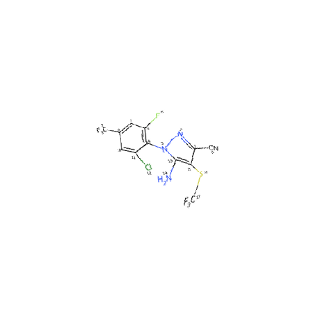 N#Cc1nn(-c2c(F)cc(C(F)(F)F)cc2Cl)c(N)c1SC(F)(F)F